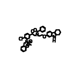 CS(=O)(=O)N(Cc1ccccc1)c1cc(C(=O)CN(CCOc2ccc3c4c([nH]c3c2)CCCC4)C(=O)c2ccccc2)ccc1Cl